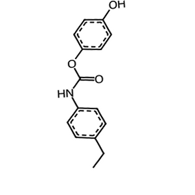 CCc1ccc(NC(=O)Oc2ccc(O)cc2)cc1